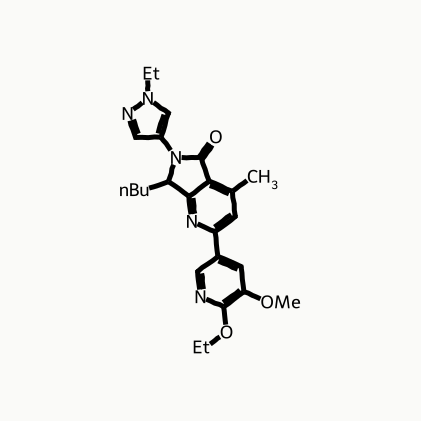 CCCCC1c2nc(-c3cnc(OCC)c(OC)c3)cc(C)c2C(=O)N1c1cnn(CC)c1